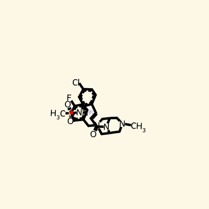 CN1CC2CN(Cc3ccc(F)cc3)CC(C1)N2C(=O)/C=C/c1ccc(Cl)cc1NS(C)(=O)=O